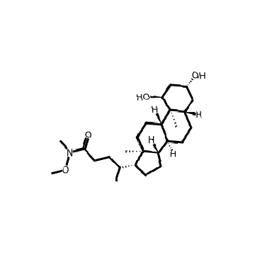 CON(C)C(=O)CCC(C)[C@H]1CC[C@H]2[C@@H]3CC[C@H]4C[C@@H](O)C[C@H](O)[C@]4(C)[C@H]3CC[C@]12C